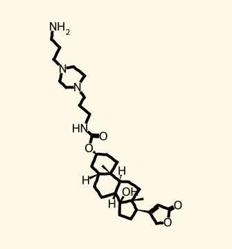 C[C@]12CC[C@H](OC(=O)NCCCN3CCN(CCCN)CC3)C[C@H]1CC[C@@H]1[C@@H]2CC[C@]2(C)[C@@H](C3=CC(=O)OC3)CC[C@]12O